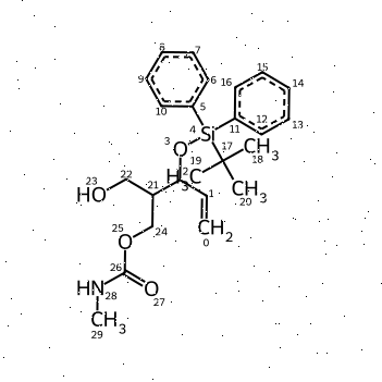 C=CC(O[Si](c1ccccc1)(c1ccccc1)C(C)(C)C)C(CO)COC(=O)NC